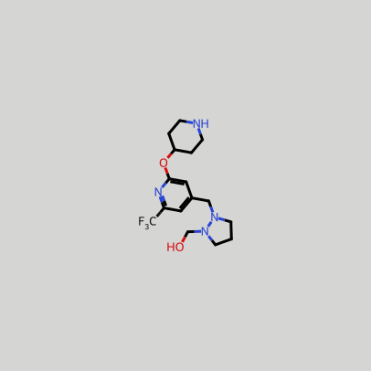 OCN1CCCN1Cc1cc(OC2CCNCC2)nc(C(F)(F)F)c1